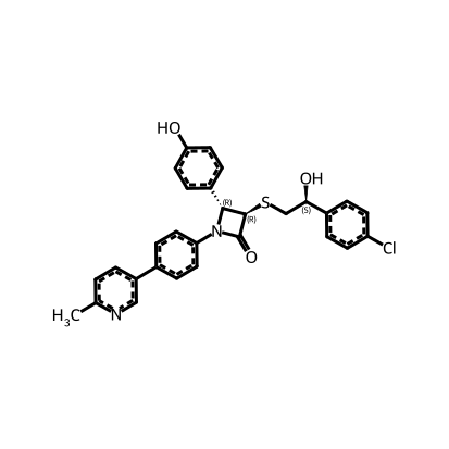 Cc1ccc(-c2ccc(N3C(=O)[C@H](SC[C@@H](O)c4ccc(Cl)cc4)[C@H]3c3ccc(O)cc3)cc2)cn1